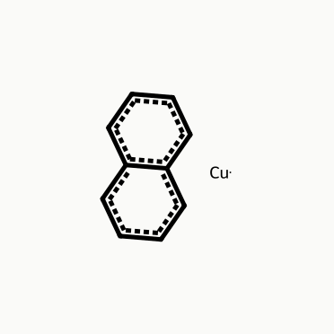 [Cu].c1ccc2ccccc2c1